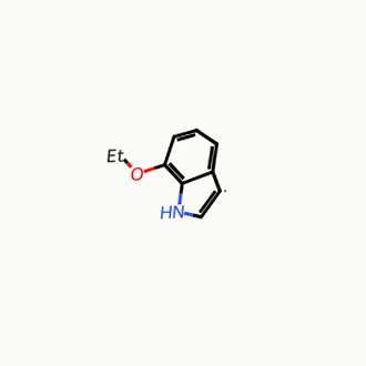 CCOc1cccc2[c]c[nH]c12